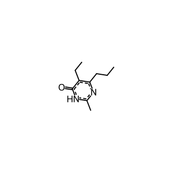 CCCc1nc(C)[nH]c(=O)c1CC